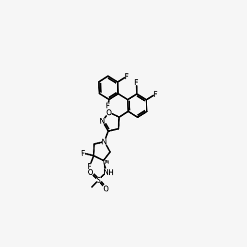 CS(=O)(=O)N[C@@H]1CN(C2=NOC(c3ccc(F)c(F)c3-c3c(F)cccc3F)C2)CC1(F)F